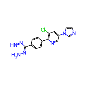 N=N/C(=N\N)c1ccc(-c2ncc(-n3ccnc3)cc2Cl)cc1